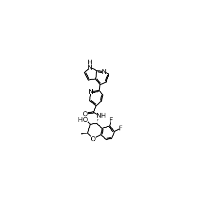 C[C@@H]1Oc2ccc(F)c(F)c2[C@@H](NC(=O)c2ccc(-c3ccnc4[nH]ccc34)nc2)[C@@H]1O